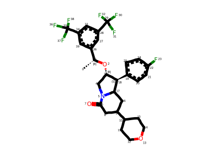 C[C@@H](O[C@H]1CN2C(=O)CC(C3CCOCC3)CC2[C@@H]1c1ccc(F)cc1)c1cc(C(F)(F)F)cc(C(F)(F)F)c1